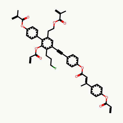 C=CC(=O)Oc1ccc(/C(C)=C/C(=O)Oc2ccc(C#Cc3cc(CCOC(=O)C(=C)C)c(-c4ccc(OC(=O)C(=C)C)cc4)c(OC(=O)C=C)c3CCCF)cc2)cc1